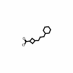 O=C(Cl)C1CC(CCCC2CCCCC2)C1